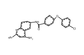 CCCc1cc(N)c2cc(NC(=O)c3ccc(Oc4ccc(Cl)cc4)cc3)ccc2n1